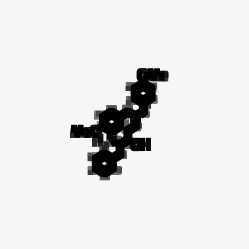 COc1ccc(CN(CC[C@@H](O)[C@@H](N)Cc2ccccc2)Cc2ccc(OC)cc2)cc1